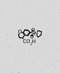 O=C(O)[C@H]1CCOc2ccc(S(=O)(=O)N3CCCC3)cc21